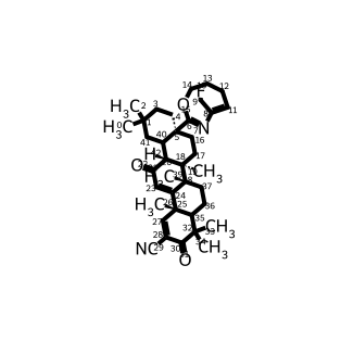 CC1(C)CC[C@]2(/C3=N/C(CF)=C/CCCO3)CC[C@]3(C)[C@H](C(=O)C=C4[C@@]5(C)C=C(C#N)C(=O)C(C)(C)C5CC[C@]43C)C2C1